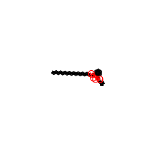 CCCCCCCCCCCCCCCCCCOC(=O)c1ccccc1C(=O)OCC(C)C